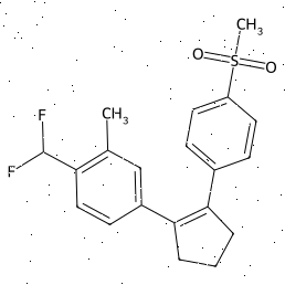 Cc1cc(C2=C(c3ccc(S(C)(=O)=O)cc3)CCC2)ccc1C(F)F